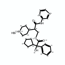 Br.O=C(Nc1cnccn1)C(COC(=O)C(O)(c1ccccc1)C1CCCC1)C1CCNCC1